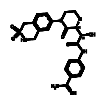 N=C(N)c1ccc(NC(=O)[C@H](O)[C@H]2OCCN(c3ccc4c(c3)CNS(=O)(=O)C4)C2=O)cc1